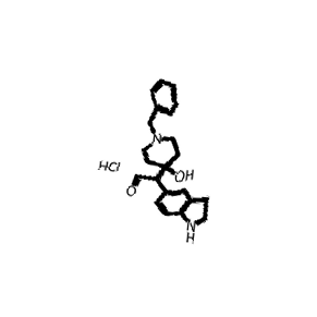 Cl.O=CC(c1ccc2c(c1)CCN2)C1(O)CCN(Cc2ccccc2)CC1